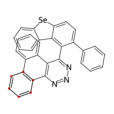 c1ccc(-c2ccccc2-c2c(-c3ccccc3)nnnc2-c2c(-c3ccccc3)ccc3[se]c4ccccc4c23)cc1